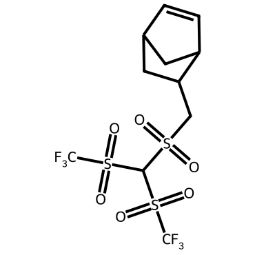 O=S(=O)(CC1CC2C=CC1C2)C(S(=O)(=O)C(F)(F)F)S(=O)(=O)C(F)(F)F